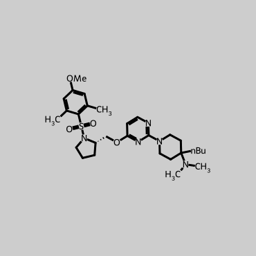 CCCCC1(N(C)C)CCN(c2nccc(OC[C@@H]3CCCN3S(=O)(=O)c3c(C)cc(OC)cc3C)n2)CC1